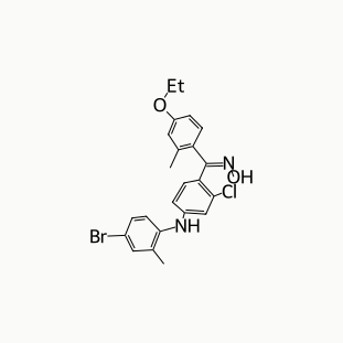 CCOc1ccc(C(=NO)c2ccc(Nc3ccc(Br)cc3C)cc2Cl)c(C)c1